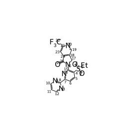 CCS(=O)(=O)c1ccc(-c2ncccn2)nc1N1Cc2cnc(C(F)(F)F)cc2C1=O